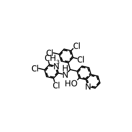 Cc1nc(NC(c2cc(Cl)cc(Cl)c2Cl)c2ccc3cccnc3c2O)c(Cl)cc1Cl